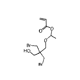 C=CC(=O)OC(C)OCC(CO)(CBr)CBr